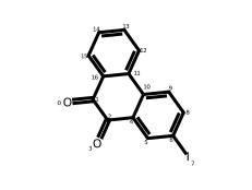 O=C1C(=O)c2cc(I)ccc2-c2ccccc21